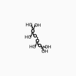 OCCN(CCO)c1ccc(N(CCO)c2ccc(Cc3ccc(N(CCO)c4ccc(N(CCO)CCO)cc4)cc3)cc2)cc1